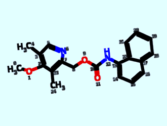 COc1c(C)cnc(COC(=O)Nc2cccc3ccccc23)c1C